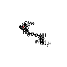 COC(=O)N[C@H](C(=O)N1C(C(=O)NCC(=O)c2ccc(-c3ccc(-c4c[nH]c([C@@H]5CCCN5C(=O)[C@@H](NC(=O)O)C(C)C)n4)cc3)cc2)CCC12CCOCC2)C(C)C